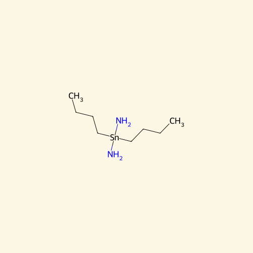 CCC[CH2][Sn]([NH2])([NH2])[CH2]CCC